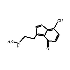 CNCCC1=C2C(=O)C=CC(O)=C2N=C1